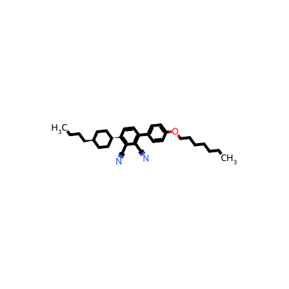 CCCCCCCOc1ccc(-c2ccc([C@H]3CC[C@H](CCCC)CC3)c(C#N)c2C#N)cc1